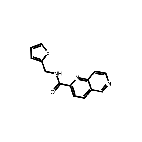 O=C(NCc1cccs1)c1ccc2cnccc2n1